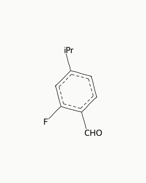 CC(C)c1ccc(C=O)c(F)c1